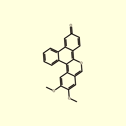 COc1cc2coc3c4ccc(=O)cc4c4ccccc4c3c2cc1OC